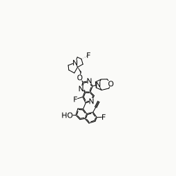 C#Cc1c(F)ccc2cc(O)cc(-c3ncc4c(N5C6CCC5COC6)nc(OC[C@@]56CCCN5C[C@H](F)C6)nc4c3F)c12